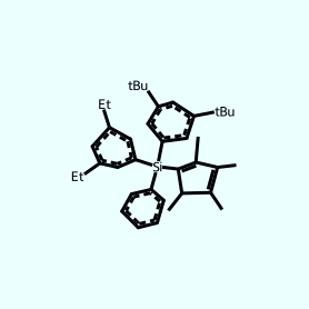 CCc1cc(CC)cc([Si](C2=C(C)C(C)=C(C)C2C)(c2ccccc2)c2cc(C(C)(C)C)cc(C(C)(C)C)c2)c1